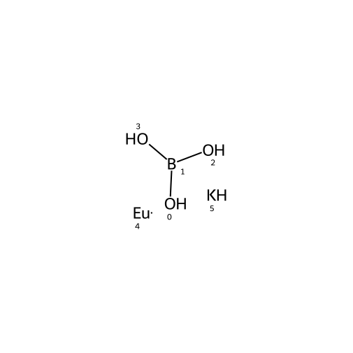 OB(O)O.[Eu].[KH]